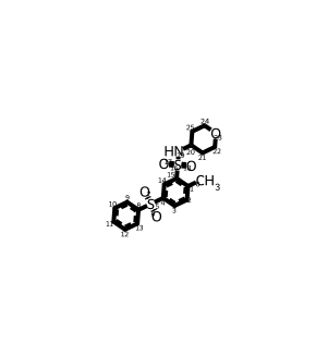 Cc1ccc(S(=O)(=O)c2ccccc2)cc1S(=O)(=O)NC1CCOCC1